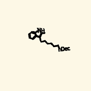 CCCCCCCCCCCCCCCCc1c(C)[nH]c2ccccc12